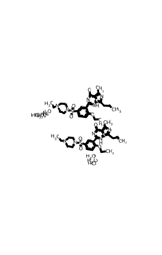 CCCc1nc(C)c2c(=O)nc(-c3cc(S(=O)(=O)N4CCN(CC)CC4)ccc3OCC)[nH]n12.CCCc1nc(C)c2c(=O)nc(-c3cc(S(=O)(=O)N4CCN(CC)CC4)ccc3OCC)[nH]n12.Cl.Cl.O.O.O.O.O.O